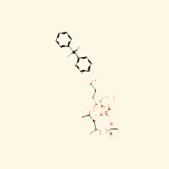 CC1O[Si](C)(O)O[Si]2(C)OC1C(C)O[Si](O)(CCCOc1ccc(C(C)(C)c3ccccc3)cc1)O2